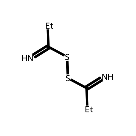 CCC(=N)SSC(=N)CC